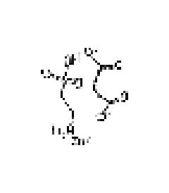 NCCS(=O)(=O)O.O=C([O-])CC(=O)[O-].[Zn+2]